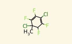 CC1(Cl)C(F)=C(F)C(Cl)=C(F)C1F